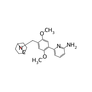 COc1cc(-c2cccc(N)n2)c(OC)cc1CN1CC2CCC(CC2)C1